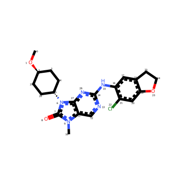 CO[C@H]1CC[C@H](n2c(=O)n(C)c3cnc(Nc4cc5c(cc4Cl)OCC5)nc32)CC1